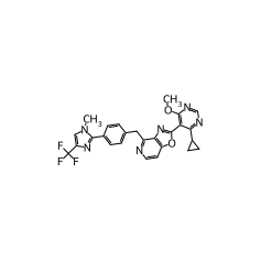 COc1ncnc(C2CC2)c1-c1nc2c(Cc3ccc(-c4nc(C(F)(F)F)cn4C)cc3)nccc2o1